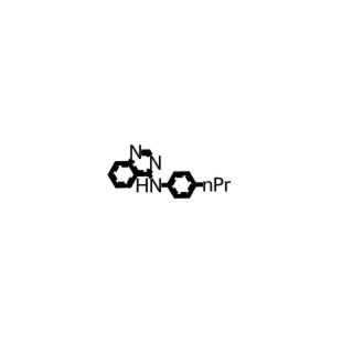 CCCc1ccc(Nc2ncnc3ccccc23)cc1